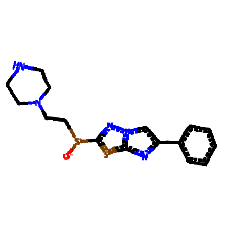 [O-][S+](CCN1CCNCC1)c1nn2cc(-c3ccccc3)nc2s1